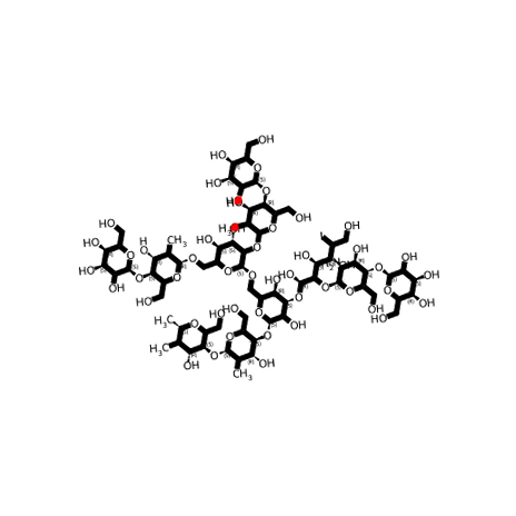 CC1[C@H](OCC2O[C@H](OCC3O[C@@H](O[C@@H]4C(CO)O[C@@H](O[C@@H]5C(CO)O[C@@H](C)C(C)[C@H]5O)C(C)[C@H]4O)C(O)[C@@H](O[C@@H](O)C(O[C@@H]4OC(CO)[C@@H](O[C@@H]5OC(CO)[C@H](O)[C@H](O)C5O)[C@H](O)C4N)[C@@H](O)[C@@H](O)C(I)CO)[C@@H]3O)C(OC3OC(CO)[C@H](O[C@@H]4OC(CO)[C@H](O)[C@H](O)C4O)[C@H](O)C3C)[C@@H](O)[C@@H]2O)OC(CO)[C@@H](O[C@@H]2OC(CO)[C@H](O)[C@H](O)C2O)[C@@H]1O